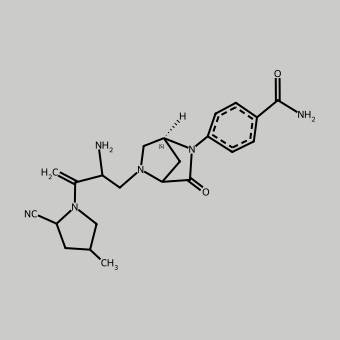 C=C(C(N)CN1C[C@@H]2CC1C(=O)N2c1ccc(C(N)=O)cc1)N1CC(C)CC1C#N